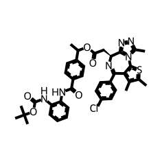 Cc1sc2c(c1C)C(c1ccc(Cl)cc1)=N[C@@H](CC(=O)OC(C)c1ccc(C(=O)Nc3ccccc3NC(=O)OC(C)(C)C)cc1)c1nnc(C)n1-2